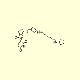 O=C1CCC(N2Cc3c(OCc4ccc(CNCCCCCCCNC5CCCCC5)cc4)cccc3C2=O)C(=O)N1